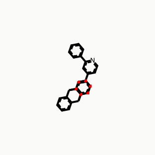 C1=C(c2ccnc(-c3ccccc3)c2)CCC2=C1C1c3ccccc3C2c2ccccc21